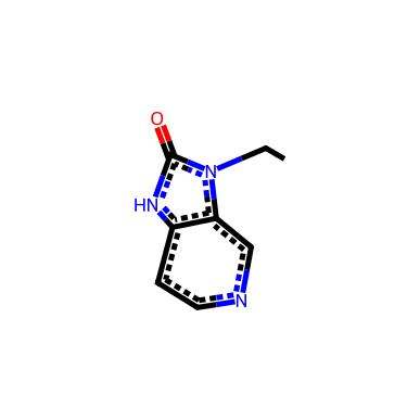 CCn1c(=O)[nH]c2ccncc21